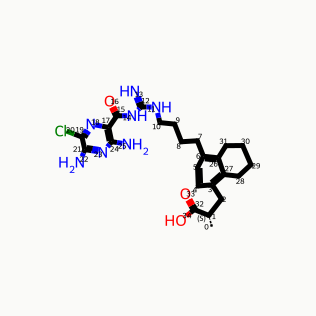 C[C@@H](Cc1ccc(CCCCNC(=N)NC(=O)c2nc(Cl)c(N)nc2N)c2c1CCCC2)C(=O)O